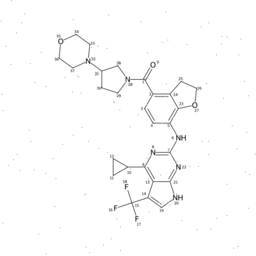 O=C(c1ccc(Nc2nc(C3CC3)c3c(C(F)(F)F)c[nH]c3n2)c2c1CCO2)N1CCC(N2CCOCC2)C1